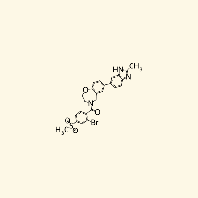 Cc1nc2ccc(-c3ccc4c(c3)CN(C(=O)c3ccc(S(C)(=O)=O)cc3Br)CCO4)cc2[nH]1